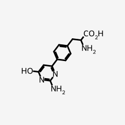 Nc1nc(O)cc(-c2ccc(CC(N)C(=O)O)cc2)n1